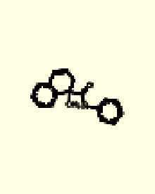 O=C(Nc1ccccc1)C1(O)CC=Cc2ccccc21